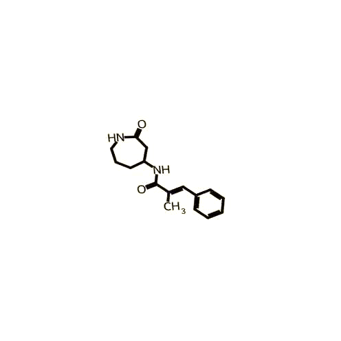 CC(=Cc1ccccc1)C(=O)NC1CCCNC(=O)C1